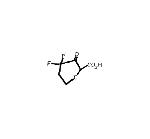 O=C(O)C1CCCC(F)(F)C1=O